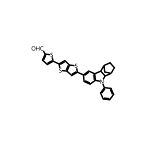 O=Cc1ccc(-c2cc3sc(-c4ccc5c(c4)C4C6CCC(C6)C4N5c4ccccc4)cc3s2)s1